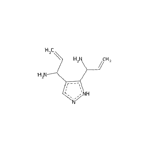 C=CC(N)c1cn[nH]c1C(N)C=C